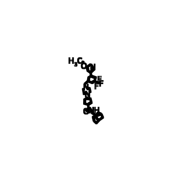 CCOc1cncc(-c2cc(CN3CCN(c4ccc(C(=O)NCC56CC7CC(CC(C7)C5)C6)cc4)CC3)cc(C(F)(F)F)c2)c1